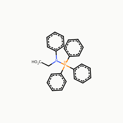 O=C(O)CN(c1ccccc1)[PH](c1ccccc1)(c1ccccc1)c1ccccc1